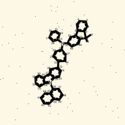 CC1(C)c2ccccc2-c2cc(N(c3ccccc3)c3ccc(-c4ccc5c(c4)c4ccccc4n5-c4cccc5ccccc45)cc3)ccc21